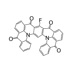 O=c1c2ccccc2n2c3cc4c(c(F)c3c(=O)c3cccc1c32)c(=O)c1cccc2c(=O)c3ccccc3n4c21